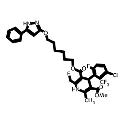 COC(=O)C1=C(C)NC(CF)=C(C(=O)OCCCCCCOc2cc(-c3ccccc3)[nH]n2)C1c1c(F)ccc(Cl)c1C(F)(F)F